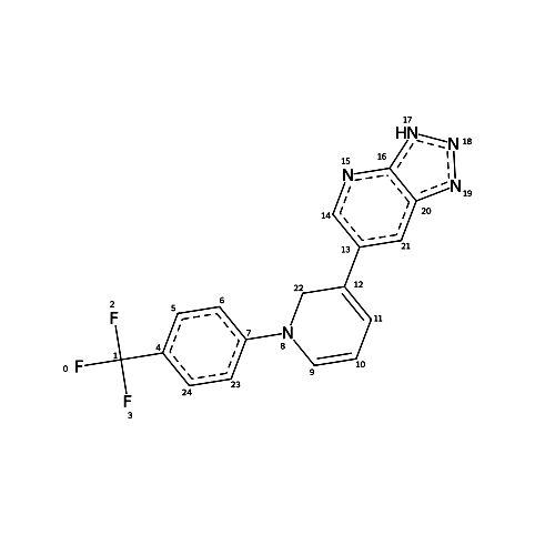 FC(F)(F)c1ccc(N2C=CC=C(c3cnc4[nH]nnc4c3)C2)cc1